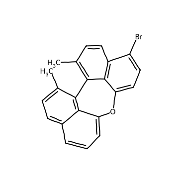 Cc1ccc2cccc3oc4ccc(Br)c5ccc(C)c(c1c23)c45